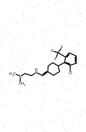 CN(C)CCNC=C1CCC(c2c(Cl)cccc2C(F)(F)F)CC1